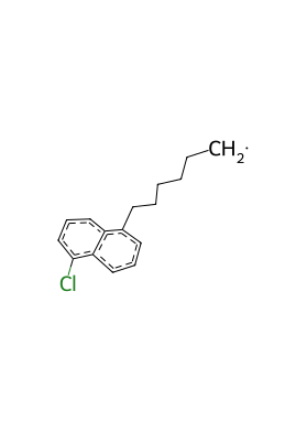 [CH2]CCCCCc1cccc2c(Cl)cccc12